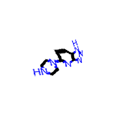 c1cc2[nH]nnc2nc1N1CCNCC1